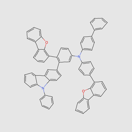 c1ccc(-c2ccc(N(c3ccc(-c4cccc5c4oc4ccccc45)cc3)c3ccc(-c4cccc5c4oc4ccccc45)c(-c4ccc5c(c4)c4ccccc4n5-c4ccccc4)c3)cc2)cc1